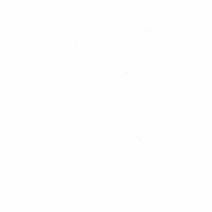 CCOC(=O)CC(c1ccnc(OCC2CCN(c3cc(OC)ccc3C(=O)N(CC(F)(F)F)c3cccc(C)n3)CC2)c1)C1CC1